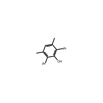 Cc1cc(C)c(C(C)C)c(O)c1C(C)C